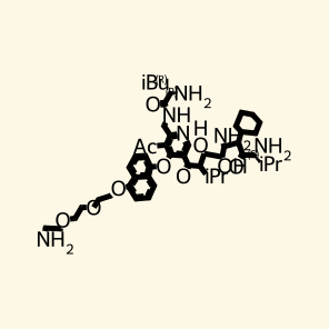 CC[C@@H](C)[C@@H](N)C(=O)NCc1ncc(C(=O)C(C(C)C)C(O)C(O)C(N)C(C(=O)[C@@H](N)C(C)C)C2CCCCC2)c(Oc2cccc3c(OCCOCCOCCN)cccc23)c1C(C)=O